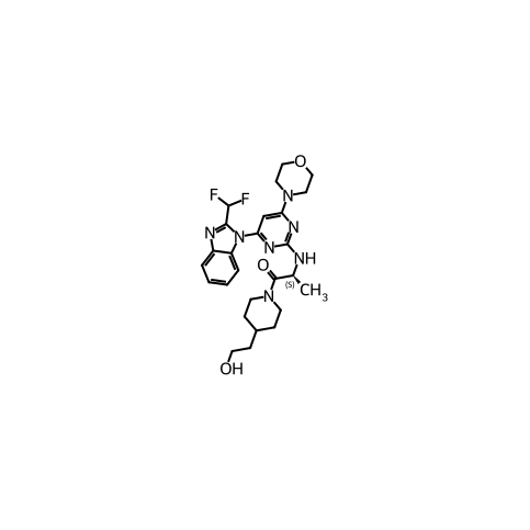 C[C@H](Nc1nc(N2CCOCC2)cc(-n2c(C(F)F)nc3ccccc32)n1)C(=O)N1CCC(CCO)CC1